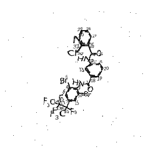 O=C(Nc1c(Br)cc(C(F)(C(F)(F)F)C(F)(F)C(F)(F)F)cc1Br)c1cccc(NC(=O)c2cccnc2Cl)c1